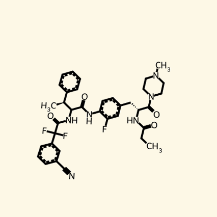 CCC(=O)N[C@H](Cc1ccc(NC(=O)C(NC(=O)C(F)(F)c2cccc(C#N)c2)[C@@H](C)c2ccccc2)c(F)c1)C(=O)N1CCN(C)CC1